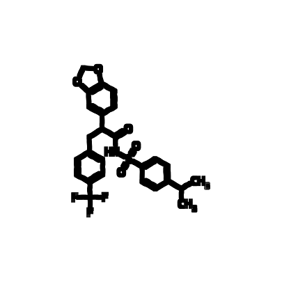 CC(C)c1ccc(S(=O)(=O)NC(=O)C(Cc2ccc(C(F)(F)F)cc2)c2ccc3c(c2)OCO3)cc1